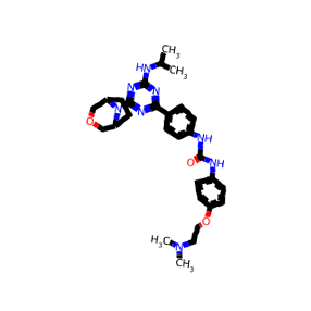 CC(C)Nc1nc(-c2ccc(NC(=O)Nc3ccc(OCCN(C)C)cc3)cc2)nc(N2C3CCC2COC3)n1